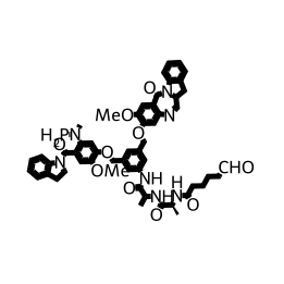 COc1cc2c(cc1OCc1cc(COc3cc(N(C)P)c(C(=O)N4CCc5ccccc54)cc3OC)cc(NC(=O)C(C)NC(=O)[C@H](C)NC(=O)CCCCC=O)c1)N=CC1Cc3ccccc3N1C2=O